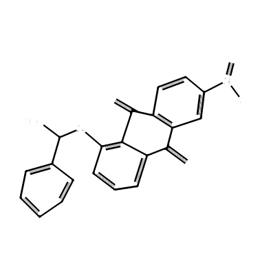 CC(Nc1cccc2c1C(=O)c1ccc([N+](=O)[O-])cc1C2=O)c1ccccc1